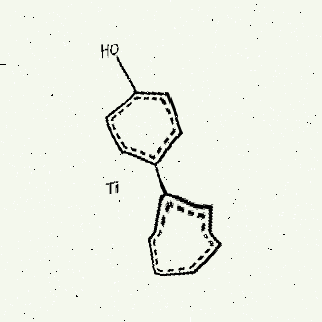 Oc1ccc(-c2ccccc2)cc1.[Ti]